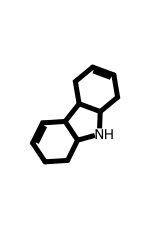 C1=CC2C(CC1)NC1CC=CCC12